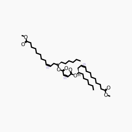 CCCCCC[C@H](C/C=C\CCCCCCCC(=O)OC)OC(=O)/C=C\C(=O)O[C@@H](C/C=C\CCCCCCCC(=O)OC)CCCCCC